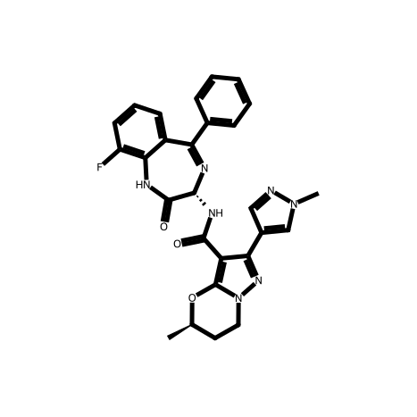 C[C@@H]1CCn2nc(-c3cnn(C)c3)c(C(=O)N[C@H]3N=C(c4ccccc4)c4cccc(F)c4NC3=O)c2O1